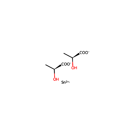 C[C@H](O)C(=O)[O-].C[C@H](O)C(=O)[O-].[Sn+2]